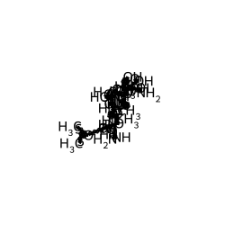 CCCC[C@H](NC(=O)[C@@H]1CCCN1C(=O)[C@H](C)NC(=O)[C@H](CCCNC(=N)N)NC(=O)/C=N/OCCCCCCOc1cc(CSC)cc(CSC)c1)C(=O)N[C@@H](CC(=O)O)C(=O)N[C@H](C(=O)N[C@@H](Cc1c[nH]c2ccccc12)C(=O)NC(Cc1ccc(O)cc1)C(=O)N[C@@H](CCC(=O)O)C(=O)NCC(N)=O)C(C)C